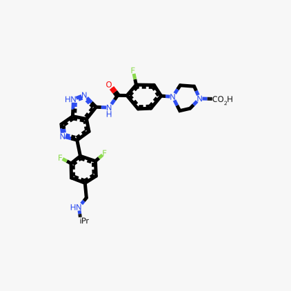 CC(C)NCc1cc(F)c(-c2cc3c(NC(=O)c4ccc(N5CCN(C(=O)O)CC5)cc4F)n[nH]c3cn2)c(F)c1